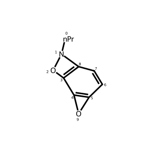 CCCn1oc2c3c(ccc21)O3